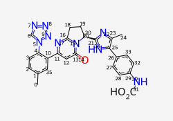 Cc1ccc(-n2cnnn2)c(-c2cc(=O)n3c(n2)CC[C@H]3c2nc(C)c(-c3ccc(NC(=O)O)cc3)[nH]2)c1